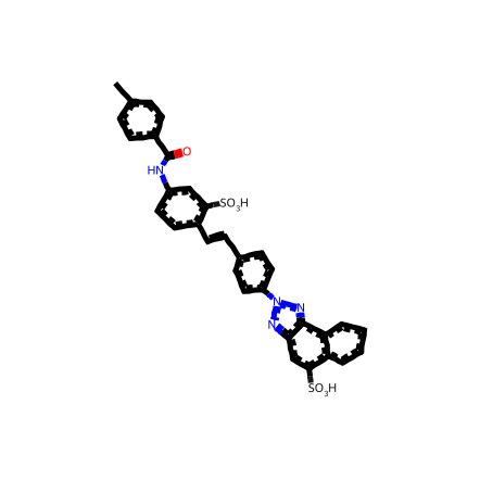 Cc1ccc(C(=O)Nc2ccc(/C=C/c3ccc(-n4nc5cc(S(=O)(=O)O)c6ccccc6c5n4)cc3)c(S(=O)(=O)O)c2)cc1